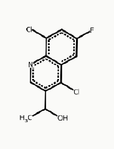 CC(O)c1cnc2c(Cl)cc(F)cc2c1Cl